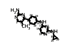 Cc1cnc(N)nc1-c1ccc(Nc2ccnc(NC3CC3)n2)cc1